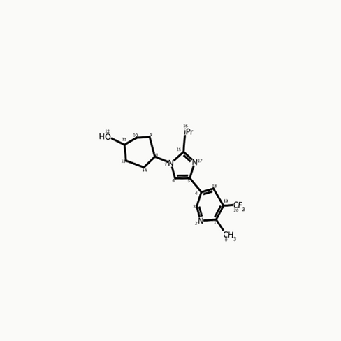 Cc1ncc(-c2cn(C3CCC(O)CC3)c(C(C)C)n2)cc1C(F)(F)F